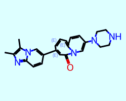 Cc1nc2ccc(C3=C\C(=O)N4C=C(N5CCNCC5)C=C\C4=C/C=C/3)cn2c1C